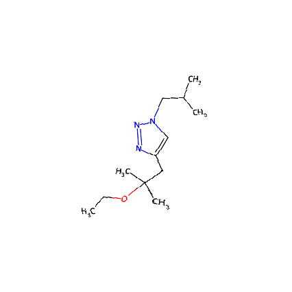 CCOC(C)(C)Cc1cn(CC(C)C)nn1